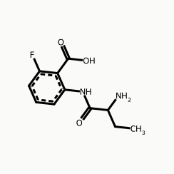 CCC(N)C(=O)Nc1cccc(F)c1C(=O)O